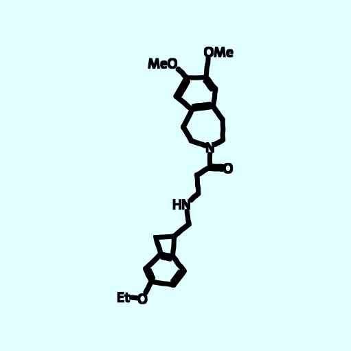 CCOc1ccc2c(c1)CC2CNCCC(=O)N1CCc2cc(OC)c(OC)cc2CC1